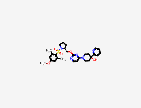 COc1cc(C)c(S(=O)(=O)N2CCC[C@H]2COc2nccc(N3CCC(O)(c4ccccn4)CC3)n2)c(C)c1